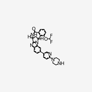 O=C1N[C@@H]2C[C@H](c3c(OC(F)F)cccc31)n1c2nc2ccc(-c3ccc(N4CCNCC4)nc3)cc21